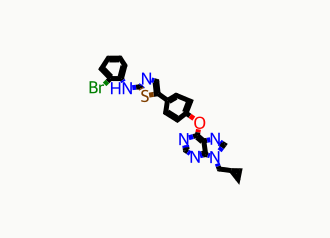 Brc1ccccc1Nc1ncc(-c2ccc(Oc3ncnc4c3ncn4CC3CC3)cc2)s1